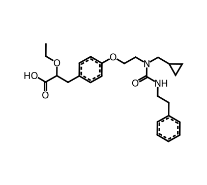 CCOC(Cc1ccc(OCCN(CC2CC2)C(=O)NCCc2ccccc2)cc1)C(=O)O